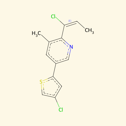 C/C=C(/Cl)c1ncc(-c2cc(Cl)cs2)cc1C